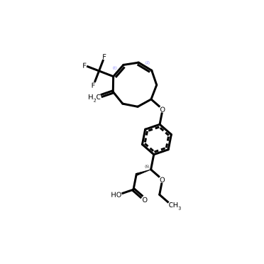 C=C1CCC(Oc2ccc([C@H](CC(=O)O)OCC)cc2)C/C=C\C=C/1C(F)(F)F